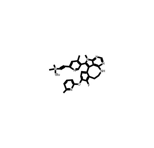 Cc1cccc(Oc2ccc3c(c2F)CCNc2ncnc4c2c-3c(-c2cnc(C#C[Si](C)(C)C(C)(C)C)cc2C)n4C)n1